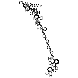 CO[C@@H](C)c1c(NC(=O)Nc2cnc(-n3cc(CNC(=O)CCOCCOCCOCCOCCNc4cccc5c4C(=O)N(C4CCC(=O)NC4=O)C5=O)cn3)c(Cl)c2)cnc2cc(Cl)nn12